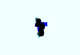 Fc1cccc(-c2cncc3[nH]c(-c4n[nH]c5ccc(-c6cncc(CN7CCC(F)(F)C7)c6)nc45)nc23)c1